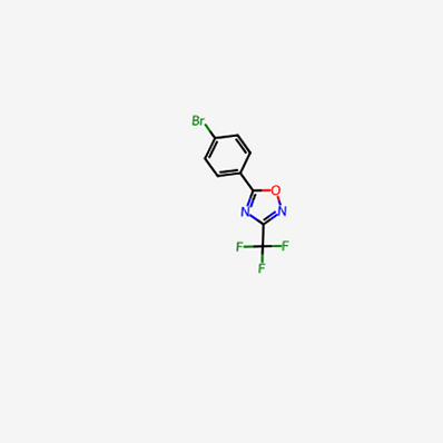 FC(F)(F)c1noc(-c2ccc(Br)cc2)n1